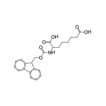 O=C(O)CCCCCC(NC(=O)OCC1c2ccccc2-c2ccccc21)C(=O)O